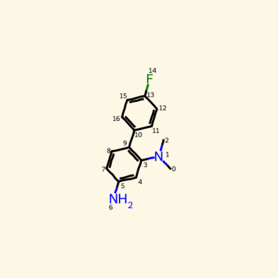 CN(C)c1cc(N)ccc1-c1ccc(F)cc1